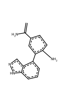 C=C(N)c1ccc(N)c(-c2cccc3[nH]ncc23)c1